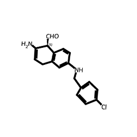 NC1=CCc2cc(NCc3ccc(Cl)cc3)ccc2[C@@H]1C=O